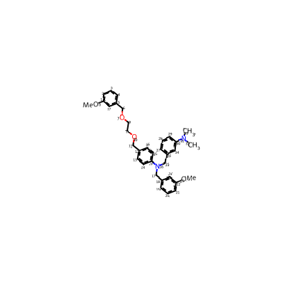 COc1cccc(COCCOCc2ccc(N(Cc3cccc(OC)c3)Cc3cccc(N(C)C)c3)cc2)c1